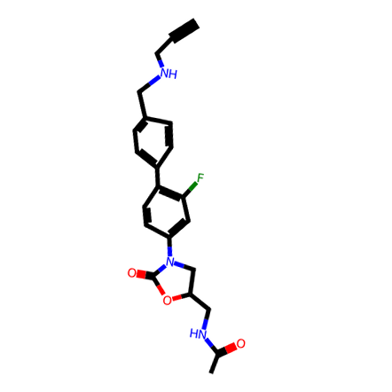 C#CCNCc1ccc(-c2ccc(N3CC(CNC(C)=O)OC3=O)cc2F)cc1